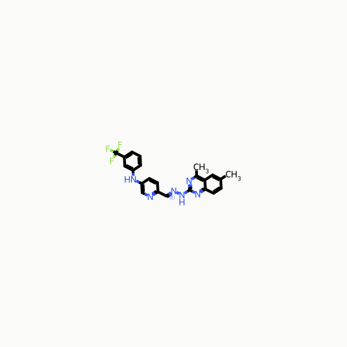 Cc1ccc2nc(N/N=C/c3ccc(Nc4cccc(C(F)(F)F)c4)cn3)nc(C)c2c1